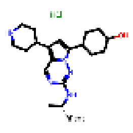 CCCCC[C@H](C)Nc1ncc2c(C3CCNCC3)cc(C3CCC(O)CC3)n2n1.Cl